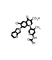 Cc1cc(NC(=O)C(C)C)ncc1-n1cc(C(=O)O)c(=O)c2cc(Cl)c(N3Cc4cccnc4C3)cc21